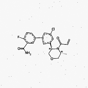 C=CC(=O)N1[C@H](C)COC[C@H]1c1cc(Cl)cc(-c2ccc(F)c(C(N)=O)c2)c1